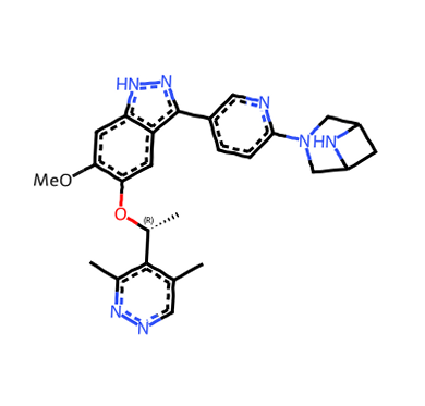 COc1cc2[nH]nc(-c3ccc(N4CC5CC(C4)N5)nc3)c2cc1O[C@H](C)c1c(C)cnnc1C